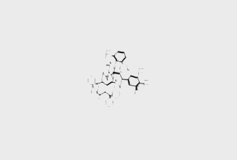 COC(=O)C[C@@H](C)N(C)C(=O)c1cc2nc(-c3cc(F)c(F)c(F)c3)cc(N(C)c3c(F)cccc3OC)n2n1